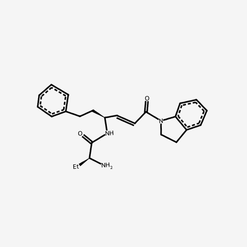 CC[C@H](N)C(=O)N[C@H](C=CC(=O)N1CCc2ccccc21)CCc1ccccc1